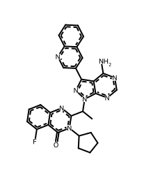 CC(c1nc2cccc(F)c2c(=O)n1C1CCCC1)n1nc(-c2cnc3ccccc3c2)c2c(N)ncnc21